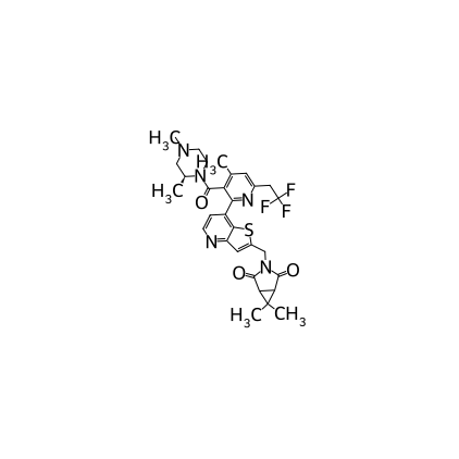 Cc1cc(CC(F)(F)F)nc(-c2ccnc3cc(CN4C(=O)C5C(C4=O)C5(C)C)sc23)c1C(=O)N1CCN(C)C[C@@H]1C